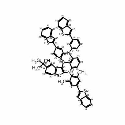 Cc1cc(-c2cc3ccccc3s2)cc(C)c1N1c2cccc3c2B(c2ccc(-c4cc5ccccc5s4)cc2N3c2cccc(-c3cc4ccccc4s3)c2)c2c1oc1ccc(C(C)(C)C)cc21